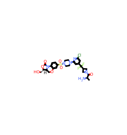 CC(N)C(=O)N1CC(C(F)(F)c2cc(Cl)nc(N3CCN(S(=O)(=O)c4ccc5c(c4)OC[C@@H]4[C@H](CO)OC(=O)N54)CC3)c2)C1